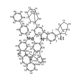 CCC1(c2ccc3c(c2)c2cc(C45CC6CC(CC(C6)C4)C5)cc4c2n3-c2cc3c(c5c2B4N(c2ccc(-c4ccccc4)cc2)c2ccc4sc6cc7ccccc7cc6c4c2-5)C(C)(C)c2ccccc2-3)CC2CCC(C2)C1